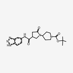 CC(C)(C)OC(=O)N1CCC(N2CC(C(=O)Nc3ccc4[nH]nnc4c3)CC2=O)CC1